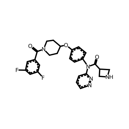 O=C(c1cc(F)cc(F)c1)N1CCC(Oc2ccc(N(C(=O)C3CNC3)c3cccnn3)cc2)CC1